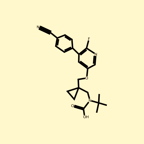 CC(C)(C)N(CC1(COc2cnc(F)c(-c3ccc(C#N)cc3)c2)CC1)C(=O)O